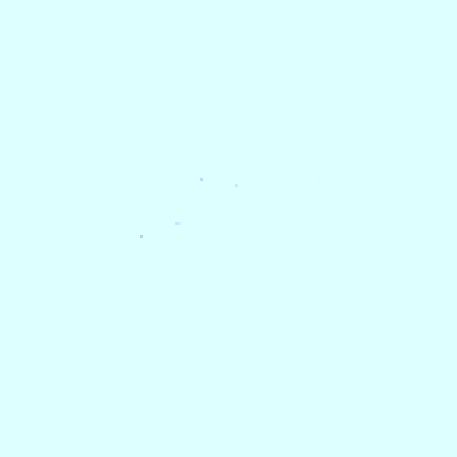 CC1(C)CNC(=O)c2ccc(-c3c[nH]c4nc(NC(=O)c5ccncc5)ccc34)cc21